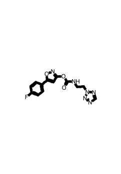 O=C(NCCn1ncnn1)Oc1cc(-c2ccc(F)cc2)on1